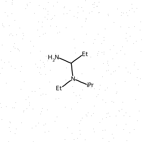 CCC(N)N(CC)C(C)C